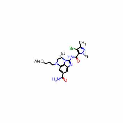 CC[C@H]1CN(CCCOC)c2cc(C(N)=O)cc3nc(NC(=O)c4c(Br)c(C)nn4CC)n1c23